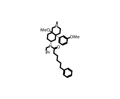 COc1cccc([C@@]23CCN(C)C[C@@]2(OC)CC[C@@H](N(CC(C)C)C(=O)CCCCCc2ccccc2)C3)c1